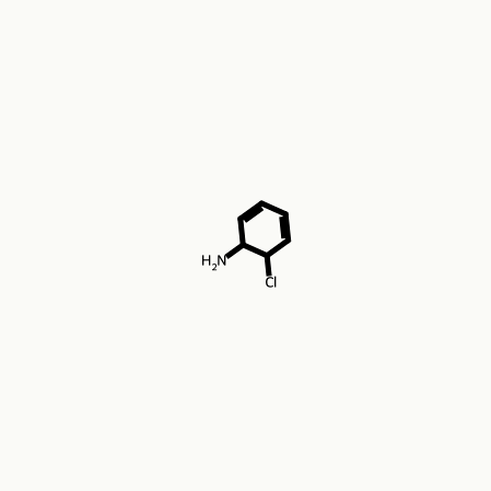 NC1C=CC=CC1Cl